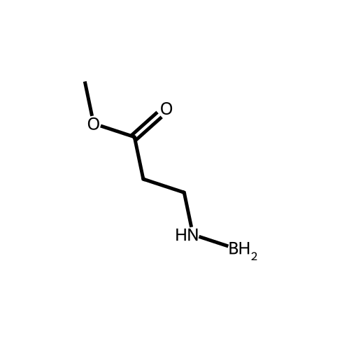 BNCCC(=O)OC